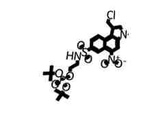 CC(C)(C)OP(=O)(OCCNS(=O)(=O)c1ccc2c3c(cc([N+](=O)[O-])c2c1)[N]CC3CCl)OC(C)(C)C